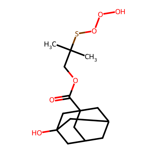 CC(C)(COC(=O)C12CC3CC(CC(O)(C3)C1)C2)SOOO